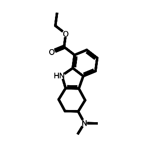 CCOC(=O)c1cccc2c3c([nH]c12)CCC(N(C)C)C3